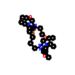 c1ccc(-c2cccc(-c3nc(-c4ccc5oc6cc7ccccc7cc6c5c4-n4c5cc6ccccc6cc5c5ccc6ccccc6c54)nc(-c4cccc5c4sc4ccc(-c6cccc(-c7cccc(-c8nc(-c9ccc%10c(c9)oc9ccccc9%10)nc(-c9ccc%10oc%11cc%12ccccc%12cc%11c%10c9-n9c%10cc%11ccccc%11cc%10c%10c%11ccccc%11ccc%109)n8)c7)c6)cc45)n3)c2)cc1